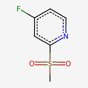 CS(=O)(=O)c1cc(F)ccn1